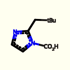 CC(C)(C)Cc1nccn1C(=O)O